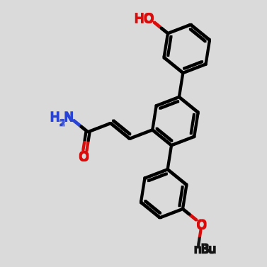 CCCCOc1cccc(-c2ccc(-c3cccc(O)c3)cc2/C=C/C(N)=O)c1